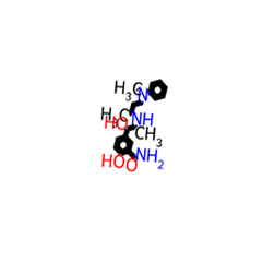 CC(CCN(C)c1ccccc1)NC(C)C(O)c1ccc(O)c(C(N)=O)c1